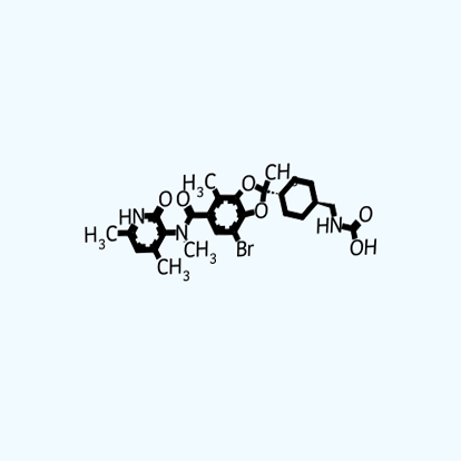 Cc1cc(C)c(N(C)C(=O)c2cc(Br)c3c(c2C)OC(C)([C@H]2CC[C@H](CNC(=O)O)CC2)O3)c(=O)[nH]1